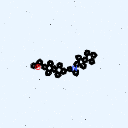 c1ccc2c(c1)oc1c(-c3ccc4c5ccccc5c5cc6c7ccccc7c7ccc(-c8ccc9c(c8)c8ccccc8n9-c8ccc9c%10ccccc%10c%10cc%11c%12ccccc%12c%12ccccc%12c%12ccccc%12c%11cc%10c%10ccccc%10c9c8)cc7c7ccccc7c6cc5c5ccccc5c4c3)cccc12